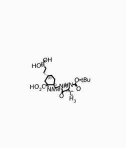 CN[C@]1(C(=O)O)C[C@H](CCB(O)O)CC[C@H]1CNC(=O)[C@H](C)NC(=O)OC(C)(C)C